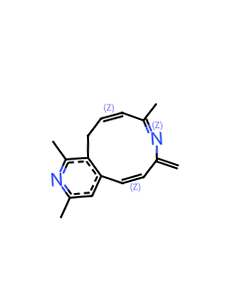 C=C1/C=C\c2cc(C)nc(C)c2C/C=C\C(C)=N/1